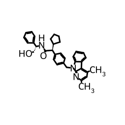 Cc1cc(C)c2c3ccccc3n(Cc3ccc([C@@H](C(=O)N[C@H](CO)c4ccccc4)C4CCCC4)cc3)c2n1